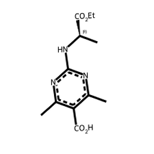 CCOC(=O)[C@@H](C)Nc1nc(C)c(C(=O)O)c(C)n1